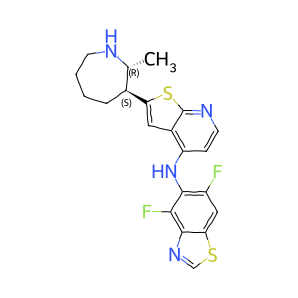 C[C@H]1NCCCC[C@@H]1c1cc2c(Nc3c(F)cc4scnc4c3F)ccnc2s1